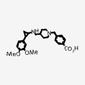 COc1ccc(C2CC2NCC2CCN(Cc3ccc(C(=O)O)cc3)CC2)cc1OC